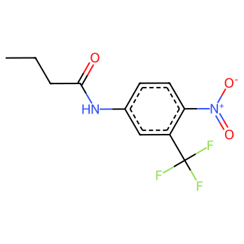 CCCC(=O)Nc1ccc([N+](=O)[O-])c(C(F)(F)F)c1